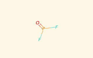 O=[P](F)F